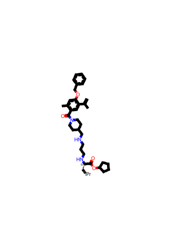 C=C(C)c1cc(C(=O)N2CCC(CNCCCN[C@@H](CC(C)C)C(=O)OC3CCCC3)CC2)c(C)cc1OCc1ccccc1